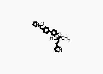 C[C@H](Oc1ccc(-c2ccc(CC(=O)N3CCCC3)cc2)cc1)[C@H](O)CCc1cccnc1